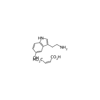 NCCc1c[nH]c2ccc(O)cc12.O=C(O)/C=C\C(=O)O